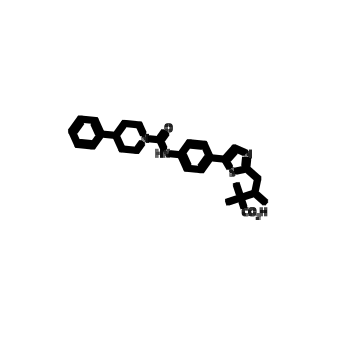 CC(Cc1ncc(-c2ccc(NC(=O)N3CCC(c4ccccc4)CC3)cc2)s1)C(C)(C)C(=O)O